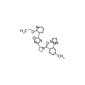 CCOc1ncccc1-c1nc(C2CCN2C(=O)c2ccc(C)cc2-n2nccn2)no1